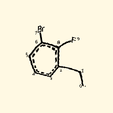 [CH2]Cc1cccc(Br)c1F